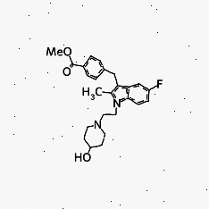 COC(=O)c1ccc(Cc2c(C)n(CCN3CCC(O)CC3)c3ccc(F)cc23)cc1